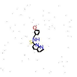 COc1cccc(CNC(=S)c2ccc3cccnc3n2)c1